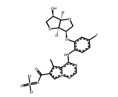 CCS(=O)(CC)=NC(=O)c1cn2ncnc(Nc3ccc(F)cc3O[C@@H]3CO[C@H]4[C@@H]3OC[C@H]4O)c2c1C